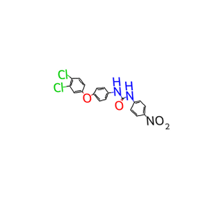 O=C(Nc1ccc(Oc2ccc(Cl)c(Cl)c2)cc1)Nc1ccc([N+](=O)[O-])cc1